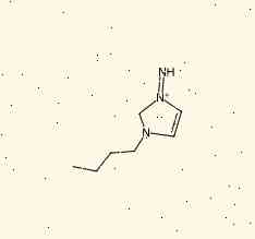 CCCCN1C=C[N+](=N)C1